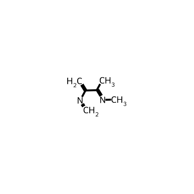 C=NC(=C)C(C)=NC